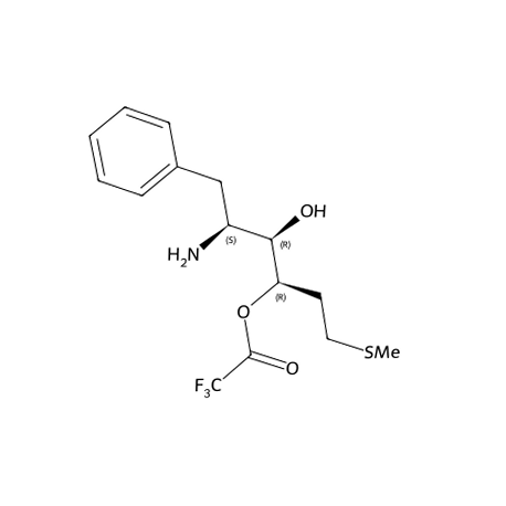 CSCC[C@@H](OC(=O)C(F)(F)F)[C@H](O)[C@@H](N)Cc1ccccc1